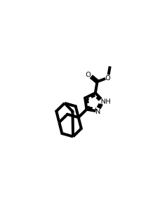 COC(=O)c1cc(C23CC4CC(CC(C4)C2)C3)n[nH]1